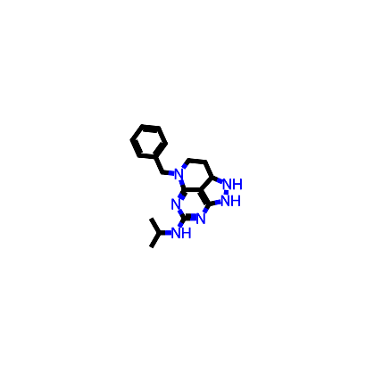 CC(C)Nc1nc2c3c(n1)N(Cc1ccccc1)CCC3NN2